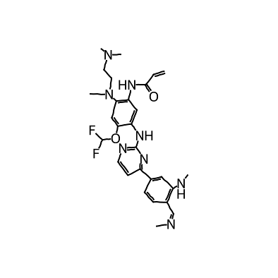 C=CC(=O)Nc1cc(Nc2nccc(-c3ccc(/C=N\C)c(NC)c3)n2)c(OC(F)F)cc1N(C)CCN(C)C